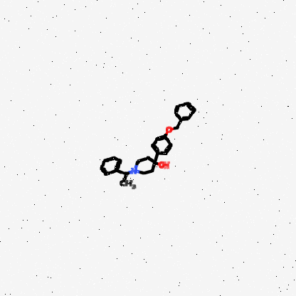 CC(c1ccccc1)N1CCC(O)(c2ccc(OCc3ccccc3)cc2)CC1